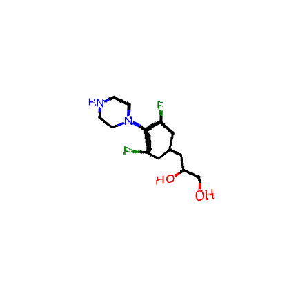 OCC(O)CC1CC(F)=C(N2CCNCC2)C(F)C1